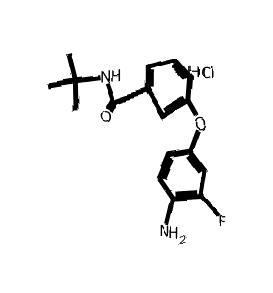 CC(C)(C)NC(=O)c1cccc(Oc2ccc(N)c(F)c2)c1.Cl